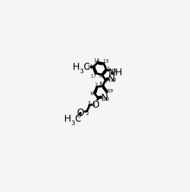 COCCOc1ccc(-c2n[nH]c3ccc(C)cc23)cn1